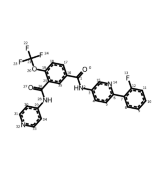 O=C(Nc1ccc(-c2ccccc2F)nc1)c1ccc(OC(F)(F)F)c(C(=O)Nc2ccncc2)c1